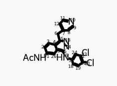 CC(=O)Nc1ccc2c(Cc3ccncc3)nnc(Nc3ccc(Cl)c(Cl)c3)c2c1